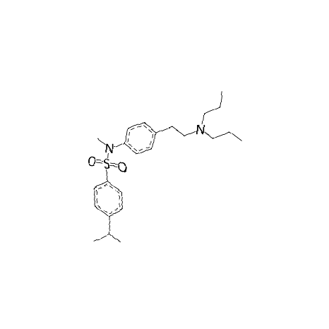 CCCN(CCC)CCc1ccc(N(C)S(=O)(=O)c2ccc(C(C)C)cc2)cc1